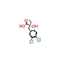 CC[C@@](O)(Cc1ccc(Cl)c(Cl)c1)C(=O)O